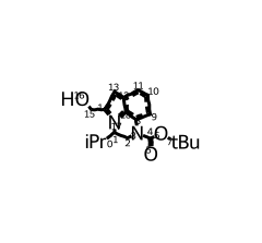 CC(C)C1CN(C(=O)OC(C)(C)C)c2cccc3cc(CO)n1c23